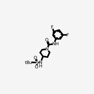 CC(C)(C)S(=O)(=O)NC1CCN(C(=O)Nc2cc(F)cc(F)c2)CC1